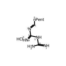 CCCCCC=NC(=N)NC(=N)N.Cl